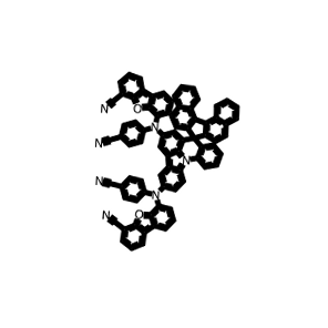 N#Cc1ccc(N(c2ccc3c(c2)c2cc(N(c4ccc(C#N)cc4)c4cccc5c4oc4c(C#N)cccc45)cc4c2n3-c2ccccc2C42c3ccc4ccccc4c3-c3c2ccc2ccccc32)c2cccc3c2oc2c(C#N)cccc23)cc1